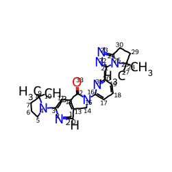 [2H]c1nc(N2CCCC2(C)C)cc2c1CN(c1cccc(-c3nnc4n3C(C)(C)CC4)n1)C2=O